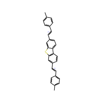 Cc1ccc(/C=C/c2ccc3c(c2)sc2cc(/C=C/c4ccc(C)cc4)ccc23)cc1